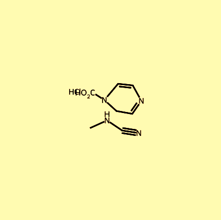 CNC#N.Cl.O=C(O)N1C=CN=CC1